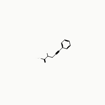 CNC(=O)C(N)CC#Cc1ccccc1